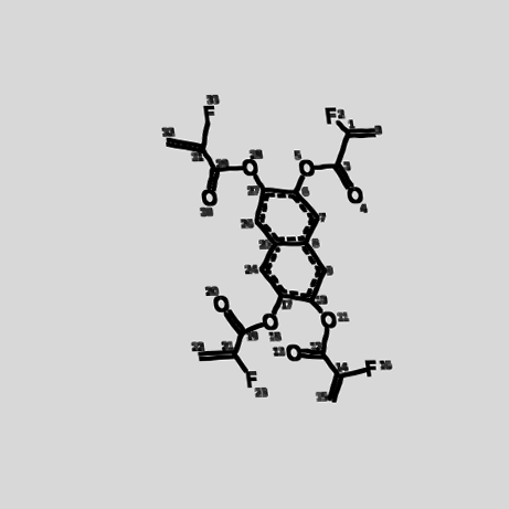 C=C(F)C(=O)Oc1cc2cc(OC(=O)C(=C)F)c(OC(=O)C(=C)F)cc2cc1OC(=O)C(=C)F